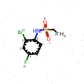 CCS(=O)(=O)Nc1ccc(F)cc1Br